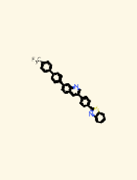 FC(F)(F)c1ccc(-c2ccc(-c3ccc4cc(-c5ccc(C6=NC7=CC=CCC7S6)cc5)cnc4c3)cc2)cc1